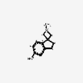 CN1CC2(CCc3cc(O)ccc32)C1